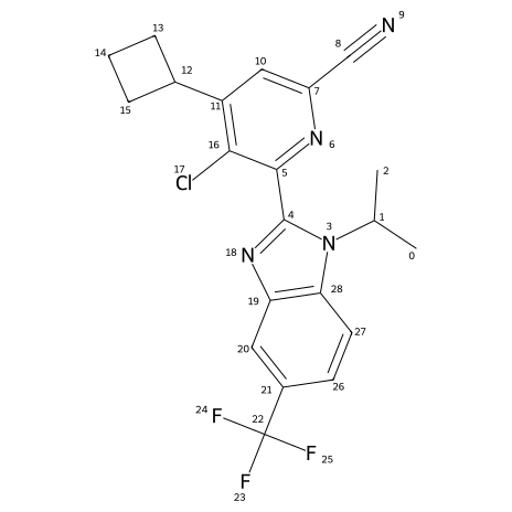 CC(C)n1c(-c2nc(C#N)cc(C3CCC3)c2Cl)nc2cc(C(F)(F)F)ccc21